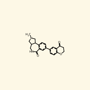 CN1CC2CNC(=O)c3cc(-c4ccc5c(c4)C(=O)CCO5)ccc3C2C1